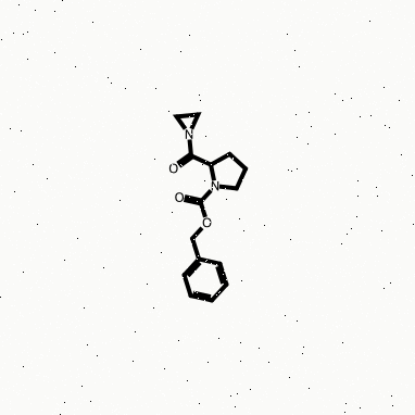 O=C(C1CCCN1C(=O)OCc1ccccc1)N1CC1